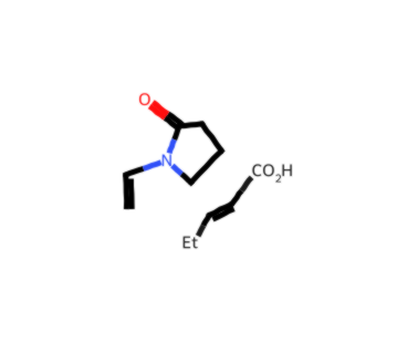 C=CN1CCCC1=O.CCC=CC(=O)O